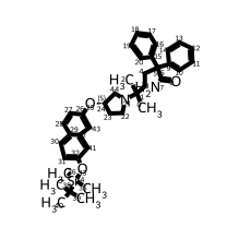 CC(C)(CCC(C(N)=O)(c1ccccc1)c1ccccc1)N1CC[C@H](Oc2ccc3ccc(O[Si](C)(C)C(C)(C)C)cc3c2)C1